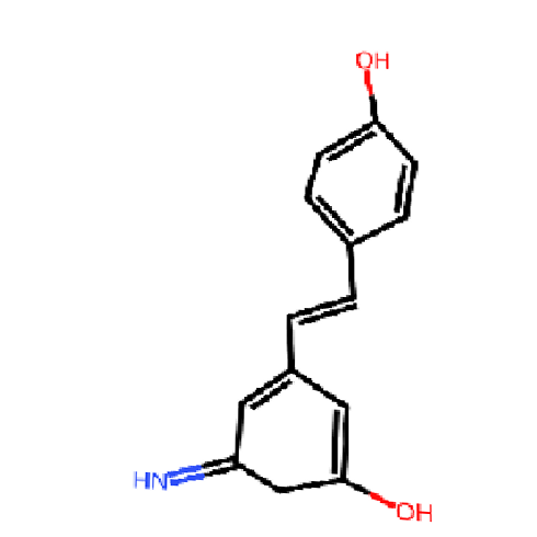 N=C1C=C(C=Cc2ccc(O)cc2)C=C(O)C1